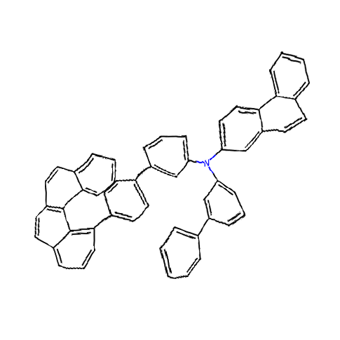 c1ccc(-c2cccc(N(c3cccc(-c4ccc(-c5cccc6ccc7ccc8ccccc8c7c56)cc4)c3)c3ccc4c(ccc5ccccc54)c3)c2)cc1